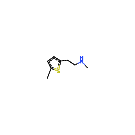 CNCCc1ccc(C)s1